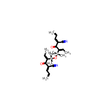 C=C/C=C(\C#N)C(=O)/C(=C/C)[Si](C)(C)O[Si](C)(C)/C(=C\C)C(=O)/C(C#N)=C/C=C